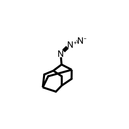 [N-]=[N+]=NC1C2CC3CC(C2)CC1C3